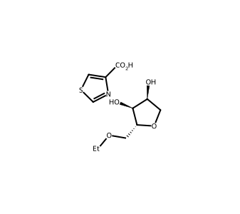 CCOC[C@H]1OC[C@H](O)[C@@H]1O.O=C(O)c1cscn1